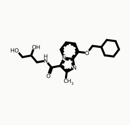 Cc1nc2c(OCC3CCCCC3)cccn2c1C(=O)NCC(O)CO